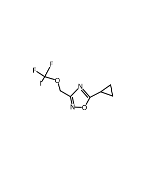 FC(F)(I)OCc1noc(C2CC2)n1